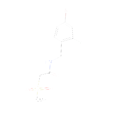 CNS(=O)(=O)CC(=O)NCc1ccc(Br)cc1Cl